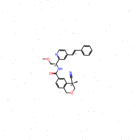 COC[C@H](NC(=O)c1ccc2c(c1)[C@](C)(C#N)COC2)c1cc(/C=C/c2ccccc2)ccn1